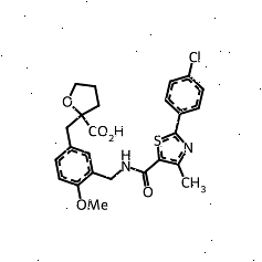 COc1ccc(CC2(C(=O)O)CCCO2)cc1CNC(=O)c1sc(-c2ccc(Cl)cc2)nc1C